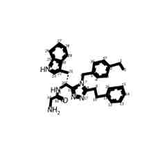 CCc1ccc(Cn2c(CCc3ccccc3)nnc2[C@@H](Cc2c[nH]c3ccccc23)NC(=O)CN)cc1